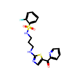 O=C(c1ccccn1)c1cnc(NCCCNS(=O)(=O)c2ccccc2F)s1